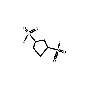 O=S(=O)(F)C1CCC(S(=O)(=O)F)C1